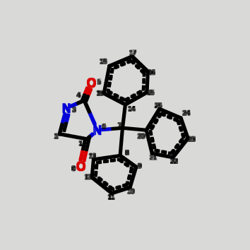 O=C1C=NC(=O)N1C(c1ccccc1)(c1ccccc1)c1ccccc1